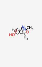 CC(=O)n1ncc2c(C)c(CC(=O)O)cc(C)c21